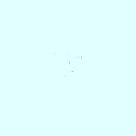 COC(=O)N(C(=O)[C@@H](C)c1ccc(F)cc1)[C@H](C)Cc1ccccc1